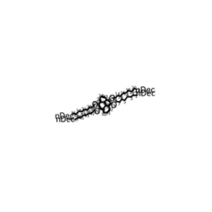 CCCCCCCCCCCCCCCCCCOc1c(OCCCCCCCCCCCCCCCCCC)c2cccc3c(OCCCCCCCCCCCCCCCCCC)c(OCCCCCCCCCCCCCCCCCC)c4cccc1c4c23